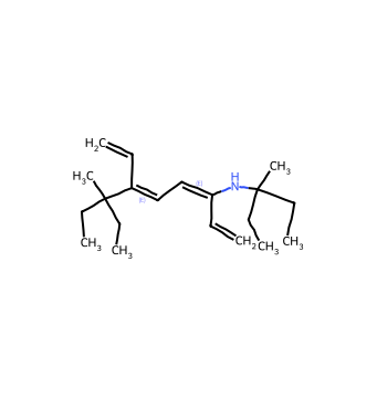 C=C/C(=C\C=C(/C=C)C(C)(CC)CC)NC(C)(CC)CC